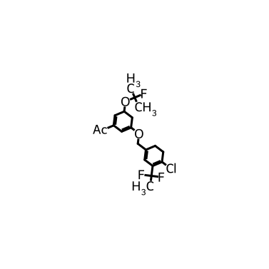 CC(=O)C1=CC(OC(C)(C)F)CC(OCC2=CC(C(C)(F)F)=C(Cl)CC2)=C1